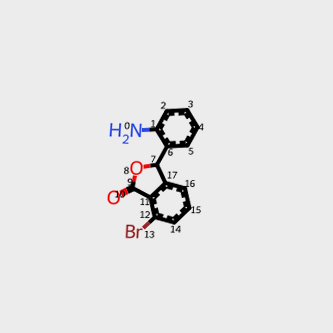 Nc1ccccc1C1OC(=O)c2c(Br)cccc21